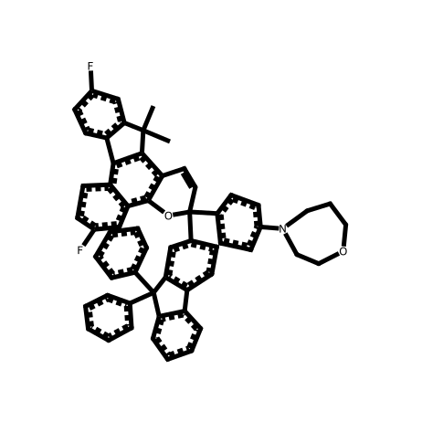 CC1(C)c2cc(F)ccc2-c2c1c1c(c3cc(F)ccc23)OC(c2ccc(N3CCCOCC3)cc2)(c2ccc3c(c2)C(c2ccccc2)(c2ccccc2)c2ccccc2-3)C=C1